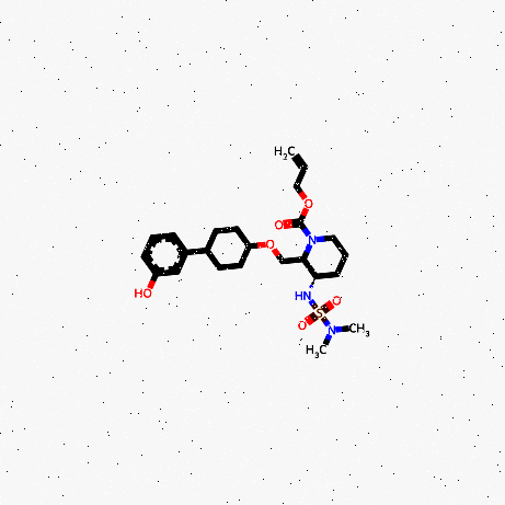 C=CCOC(=O)N1CCC[C@H](NS(=O)(=O)N(C)C)C1COC1CCC(c2cccc(O)c2)CC1